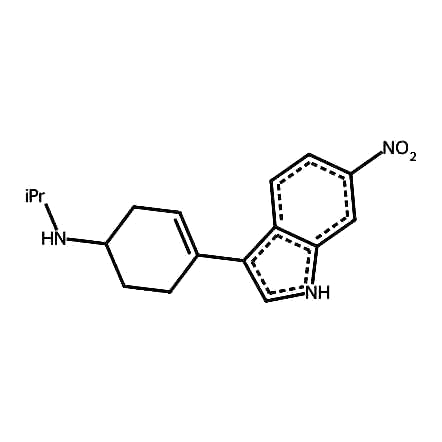 CC(C)NC1CC=C(c2c[nH]c3cc([N+](=O)[O-])ccc23)CC1